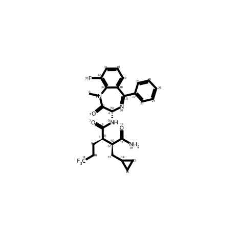 CN1C(=O)[C@@H](NC(=O)[C@H](CCC(F)(F)F)[C@H](CC2CC2)C(N)=O)N=C(c2ccccc2)c2cccc(F)c21